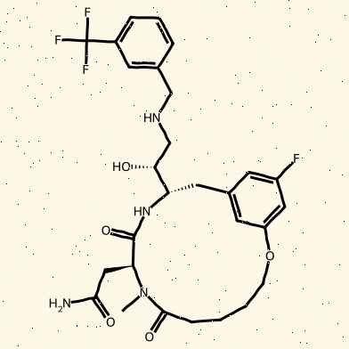 CN1C(=O)CCCCOc2cc(F)cc(c2)C[C@@H]([C@H](O)CNCc2cccc(C(F)(F)F)c2)NC(=O)[C@@H]1CC(N)=O